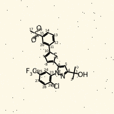 CC(C)(O)c1cc(-c2ccc(-c3cccc(S(C)(=O)=O)c3)s2)n(-c2cc(C(F)(F)F)ccc2Cl)n1